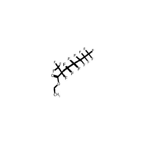 CCOC(=O)C(F)(C(F)(F)F)C(F)(F)C(F)(F)C(F)(F)C(F)(F)C(F)(F)F